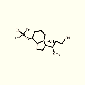 CC[Si](CC)(CC)O[C@H]1CCC[C@@]2(C)C1CC[C@@H]2[C@H](C)CCC#N